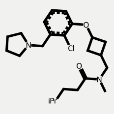 CC(C)CCC(=O)N(C)CC1CC(Oc2cccc(CN3CCCC3)c2Cl)C1